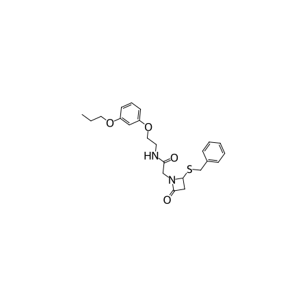 CCCOc1cccc(OCCNC(=O)CN2C(=O)CC2SCc2ccccc2)c1